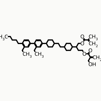 C=C(C)C(=O)OCC(CCOC(=O)C(=C)CO)C1CCC(CCC2CCC(c3ccc(-c4ccc(CCCCC)c(CC)c4)c(CC)c3)CC2)CC1